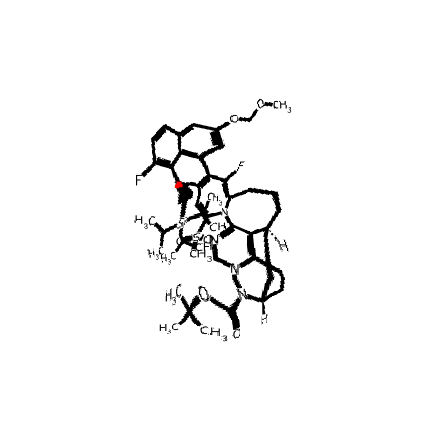 COCOc1cc(C2=C(F)C=C(S(C)(=O)=O)N3C4=NCN5C6=C4[C@@H](CCCC3=C2F)[C@H](CC6)N5C(=O)OC(C)(C)C)c2c(C#C[Si](C(C)C)(C(C)C)C(C)C)c(F)ccc2c1